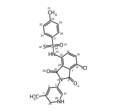 CC1=CC(N2C(=O)c3c(Cl)ccc(NS(=O)(=S)c4ccc(C)cc4)c3C2=O)=CNC1